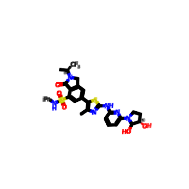 Cc1nc(Nc2cccc(N3CC[C@H](O)C3O)n2)sc1-c1cc2c(c(S(=O)(=O)NC(C)C)c1)C(=O)N([C@@H](C)C(F)(F)F)C2